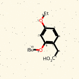 CCOc1ccc(CC(=O)O)c(OC(C)CC)c1